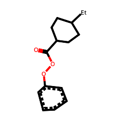 CCC1CCC(C(=O)OOc2ccccc2)CC1